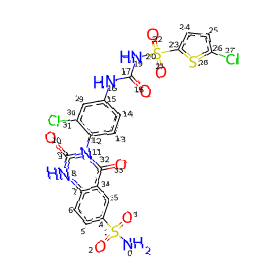 NS(=O)(=O)c1ccc2[nH]c(=O)n(-c3ccc(NC(=O)NS(=O)(=O)c4ccc(Cl)s4)cc3Cl)c(=O)c2c1